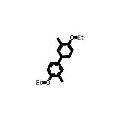 CCOC1=CCC(c2ccc(OCC)c(C)c2)C=C1C